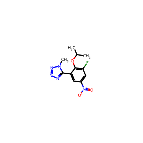 CC(C)Oc1c(F)cc([N+](=O)[O-])cc1-c1nnnn1C